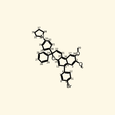 COc1cc2c(-c3ccc(Br)cc3)cc3c(c2cc1OC)C=CC(c1ccccc1)(c1ccc(N2CCCC2)cc1)O3